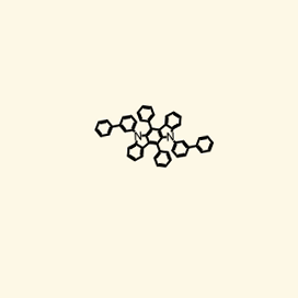 c1ccc(-c2cccc(-n3c4ccccc4c4c(-c5ccccc5)c5c(c(-c6ccccc6)c43)c3ccccc3n5-c3cccc(-c4ccccc4)c3)c2)cc1